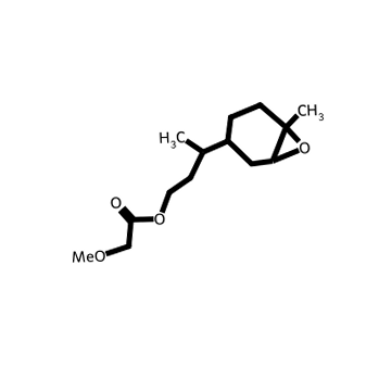 COCC(=O)OCCC(C)C1CCC2(C)OC2C1